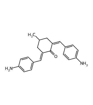 CC1CC(=Cc2ccc(N)cc2)C(=O)C(=Cc2ccc(N)cc2)C1